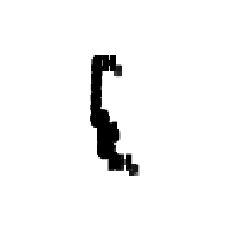 CCCCCCCCCCc1ccc(-c2noc(-c3cccc(CN)c3)n2)cc1